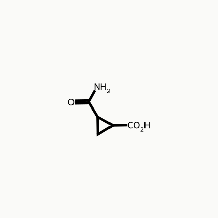 NC(=O)C1CC1C(=O)O